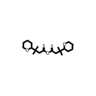 CC(C)(CC(=S)OC(=S)CC(C)(C)C1CCCCO1)C1CCCCO1